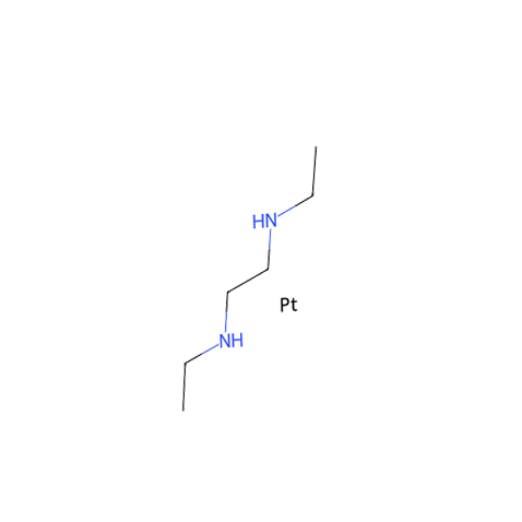 CCNCCNCC.[Pt]